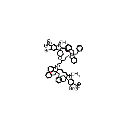 CN1/C(=C/C=C/C2=[N+](CCC(=O)CC[N+]3=C(/C=C/C=C4/N(C)c5cc([N+](=O)[O-])c(Br)cc5C45CCCCC5)C(Cc4ccccc4)(Cc4ccccc4)c4ccccc43)c3ccccc3C2(Cc2ccccc2)Cc2ccccc2)C2(CCCCC2)c2cc(Br)c([N+](=O)[O-])cc21